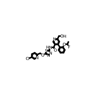 CC(F)Oc1ccccc1-c1cc(CO)ncc1C(=O)Nc1nnc(OCc2ccc(Cl)cn2)s1